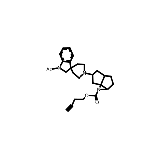 C#CCCOC(=O)N1C2CCC3CC(N4CCC5(CC4)CN(C(C)=O)c4ccccc45)CC321